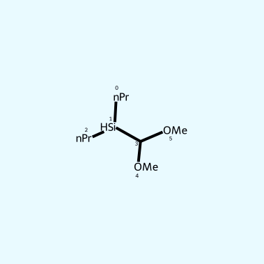 CCC[SiH](CCC)C(OC)OC